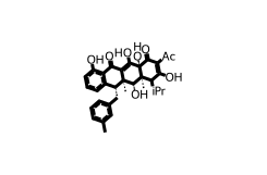 CC(=O)C1=C(O)C(C(C)C)[C@@]2(C)[C@H](O)[C@]3(C)C(=C(O)[C@@]2(O)C1=O)C(=O)c1c(O)cccc1[C@H]3Cc1cccc(C)c1